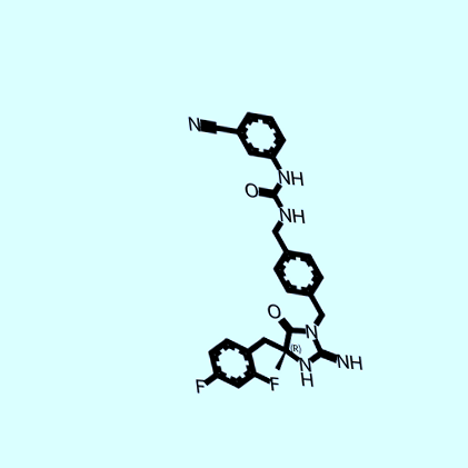 C[C@]1(Cc2ccc(F)cc2F)NC(=N)N(Cc2ccc(CNC(=O)Nc3cccc(C#N)c3)cc2)C1=O